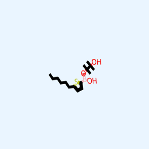 CCCCCCc1ccc(B(O)OC(C)(C)C(C)(C)O)s1